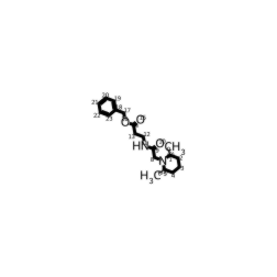 C[C@@H]1CCC[C@H](C)N1CC(=O)NCCC(=O)OCc1ccccc1